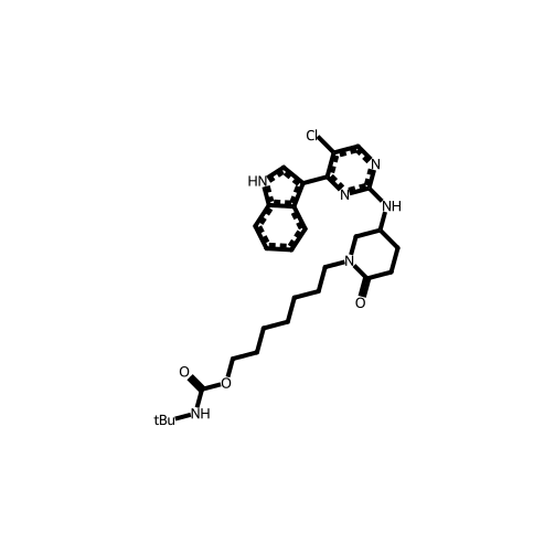 CC(C)(C)NC(=O)OCCCCCCCN1CC(Nc2ncc(Cl)c(-c3c[nH]c4ccccc34)n2)CCC1=O